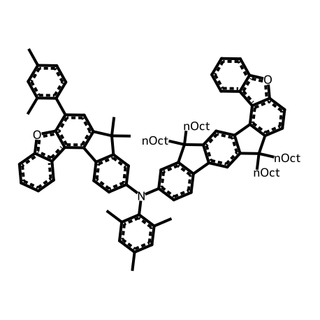 CCCCCCCCC1(CCCCCCCC)c2cc(N(c3ccc4c(c3)C(C)(C)c3cc(-c5ccc(C)cc5C)c5oc6ccccc6c5c3-4)c3c(C)cc(C)cc3C)ccc2-c2cc3c(cc21)-c1c(ccc2oc4ccccc4c12)C3(CCCCCCCC)CCCCCCCC